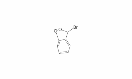 BrC1OOc2ccccc21